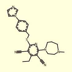 CCc1c(C#N)c(SCc2ccc(-n3ccnc3)cc2)nc(N2CCCN(C)CC2)c1C#N